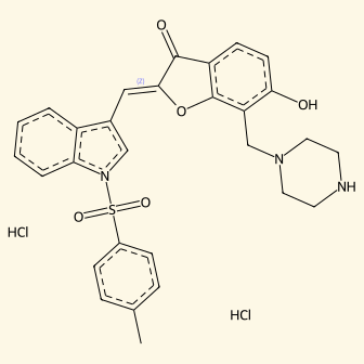 Cc1ccc(S(=O)(=O)n2cc(/C=C3\Oc4c(ccc(O)c4CN4CCNCC4)C3=O)c3ccccc32)cc1.Cl.Cl